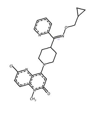 Cn1c(=O)cc(N2CCC(/C(=N/OCC3CC3)c3ccccn3)CC2)c2nc(Cl)ccc21